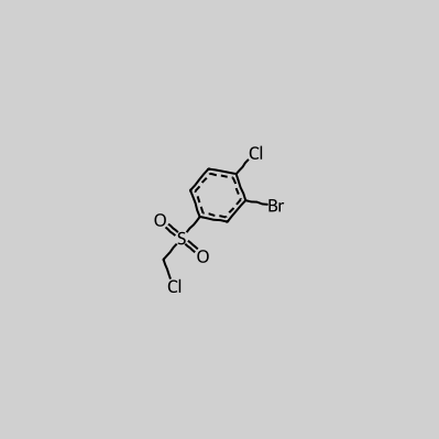 O=S(=O)(CCl)c1ccc(Cl)c(Br)c1